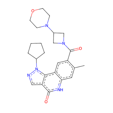 Cc1cc2[nH]c(=O)c3cnn(C4CCCC4)c3c2cc1C(=O)N1CC(N2CCOCC2)C1